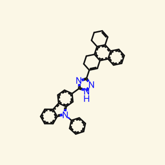 C1=Cc2c(c3c(c4ccccc24)C=C(c2n[nH]c(-c4ccc5c6ccccc6n(-c6ccccc6)c5c4)n2)CC3)CC1